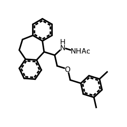 CC(=O)NNC(COCc1cc(C)cc(C)c1)C1c2ccccc2CCc2ccccc21